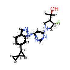 CC(C)(O)C1CN(c2cc(-n3ncc4ccc(C5CC56CC6)cc43)ncn2)C[C@@H]1F